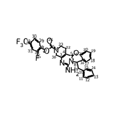 Nc1nc2c(c(=O)n1C(Cc1ccccc1)c1ccccc1)CCN(C(=O)Oc1ccc(C(F)(F)F)cc1F)C2